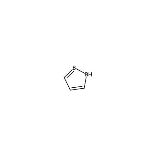 B1=CC=CB1